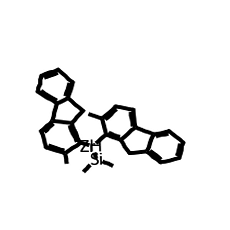 Cc1ccc2c([c]1[Zr]([c]1c(C)ccc3c1Cc1ccccc1-3)[SiH](C)C)Cc1ccccc1-2